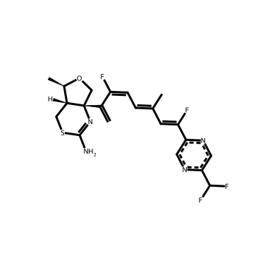 C=C(\C(F)=C/C=C(C)/C=C(\F)c1cnc(C(F)F)cn1)[C@]12CO[C@H](C)[C@H]1CSC(N)=N2